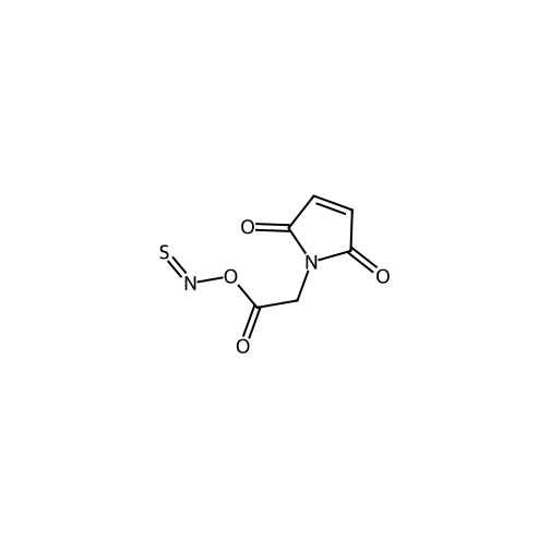 O=C(CN1C(=O)C=CC1=O)ON=S